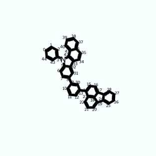 c1ccc(-n2c3ccc(-c4cccc(-c5ccc6c7c(cccc57)-c5ccccc5-6)c4)cc3c3ccc4ccccc4c32)cc1